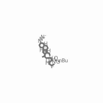 CCCCOC(=O)N1C[C@@H](C)C[C@H]2O[C@]3(CC[C@@H]4C(=C(C)C3)C[C@H]3[C@H]4CC[C@@H]4C[C@H](N=[N+]=[N-])CC[C@@]43C)[C@H](C)[C@@H]21